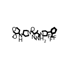 C=C(/C(C)=C(\N=C/N)C(=O)N1CCC(NC2CCOCC2OC)CC1)N1CCC(c2ccccc2C(F)(F)F)CC1